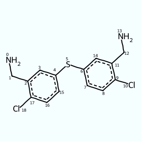 NCc1cc(Sc2ccc(Cl)c(CN)c2)ccc1Cl